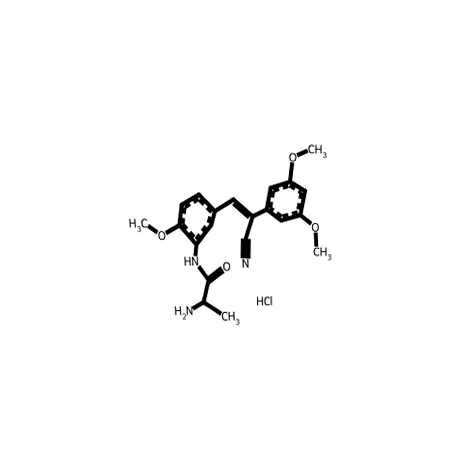 COc1cc(OC)cc(C(C#N)=Cc2ccc(OC)c(NC(=O)C(C)N)c2)c1.Cl